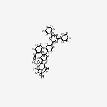 CC1(c2ccc(-c3ccc(-c4nc(-c5ccccc5)nc(-c5ccccc5)n4)cc3)c(-c3ccccc3C#N)c2)C[C@H]2C[C@H]3C[C@@H](C1)C32